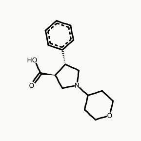 O=C(O)[C@@H]1CN(C2CCOCC2)C[C@H]1c1ccccc1